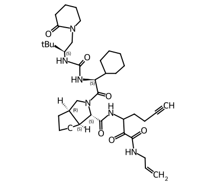 C#CCCC(NC(=O)[C@@H]1[C@H]2CCC[C@H]2CN1C(=O)[C@@H](NC(=O)N[C@H](CN1CCCCC1=O)C(C)(C)C)C1CCCCC1)C(=O)C(=O)NCC=C